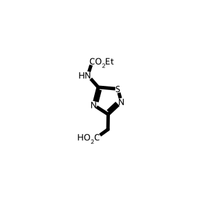 CCOC(=O)Nc1nc(CC(=O)O)ns1